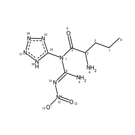 CCCC(N)C(=O)N(C(N)=N[N+](=O)[O-])c1nnn[nH]1